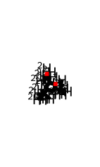 [2H]C([2H])([2H])C([2H])(c1cc(C([2H])(C([2H])([2H])[2H])C([2H])([2H])[2H])cc(C([2H])(C([2H])([2H])[2H])C([2H])([2H])[2H])c1)C([2H])([2H])[2H]